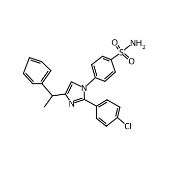 CC(c1ccccc1)c1cn(-c2ccc(S(N)(=O)=O)cc2)c(-c2ccc(Cl)cc2)n1